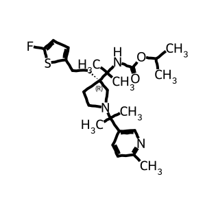 Cc1ccc(C(C)(C)N2CC[C@@](CCc3ccc(F)s3)(C(C)(C)NC(=O)OC(C)C)C2)cn1